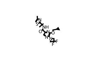 Cc1csc(C(C)(C)NC(=O)c2cnc(N3CC(F)(F)C3)c(OCC3CC3)n2)n1